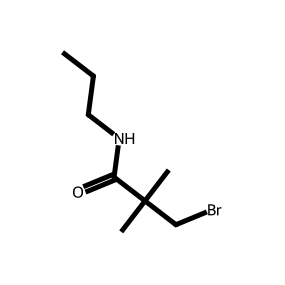 CCCNC(=O)C(C)(C)CBr